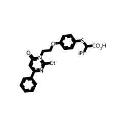 CCc1nc(-c2ccccc2)cc(=O)n1CCOc1ccc(SC(C(=O)O)C(C)C)cc1